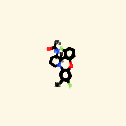 N#Cc1cc2c(cc1F)Oc1cccc(F)c1[C@H]1[C@H](NC(=O)C(F)(F)F)CCCN21